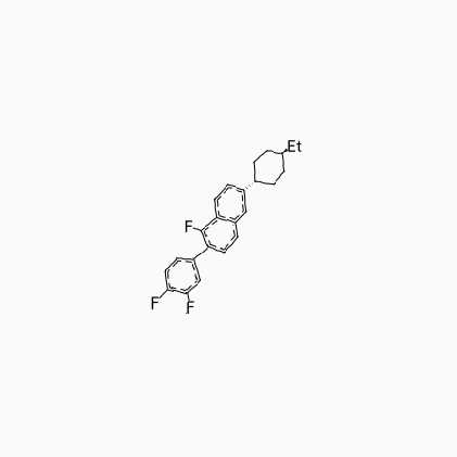 CC[C@H]1CC[C@H](c2ccc3c(F)c(-c4ccc(F)c(F)c4)ccc3c2)CC1